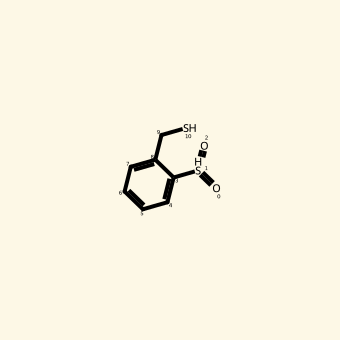 O=[SH](=O)c1ccccc1CS